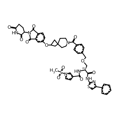 CS(=O)(=O)n1ccc(C(=O)N[C@@H](COCc2ccc(C(=O)N3CCC4(CC3)CC(Oc3ccc5c(c3)C(=O)N(C3CCC(=O)NC3=O)C5=O)C4)cc2)C(=O)Nc2nc(-c3ccccc3)cs2)c1